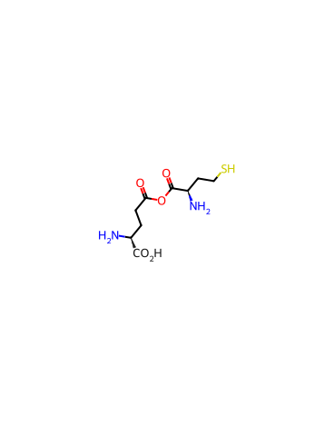 N[C@H](CCS)C(=O)OC(=O)CC[C@H](N)C(=O)O